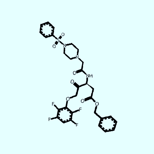 O=C(CN1CCN(S(=O)(=O)c2ccccc2)CC1)N[C@@H](CC(=O)OCc1ccccc1)C(=O)COc1c(F)c(F)cc(F)c1F